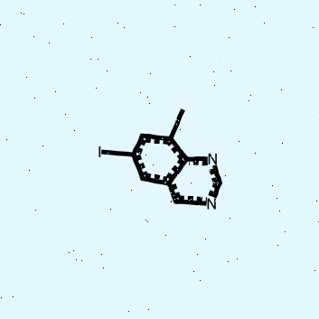 Cc1cc(I)cc2[c]ncnc12